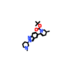 C[C@H]1CC=C(c2ccc3nn([C@@H]4CCCN(C)C4)cc3c2)N(C(=O)OC(C)(C)C)C1